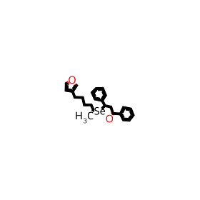 CC(CCCCc1ccoc1)[Se]C(CC(=O)c1ccccc1)c1ccccc1